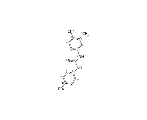 FC(F)(F)c1cc(NC(=S)Nc2ccc(Cl)cc2)ccc1Cl